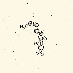 CN(C)Cc1ccccc1-c1cccc(-n2ncc3c(=O)n(CC4(O)CCN(C(=O)C5CC5)CC4)cnc32)c1